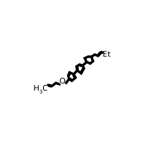 CC=CCCOCc1ccc(-c2ccc(C3CCC(C/C=C/CC)CC3)cc2)cc1